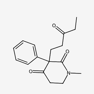 CCC(=O)CCC1(c2ccccc2)C(=O)CCN(C)C1=O